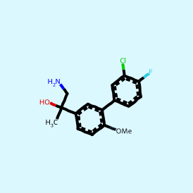 COc1ccc(C(C)(O)CN)cc1-c1ccc(F)c(Cl)c1